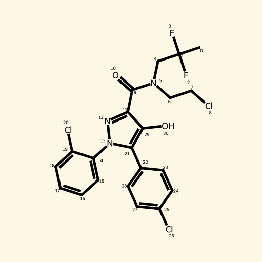 CC(F)(F)CN(CCCl)C(=O)c1nn(-c2ccccc2Cl)c(-c2ccc(Cl)cc2)c1O